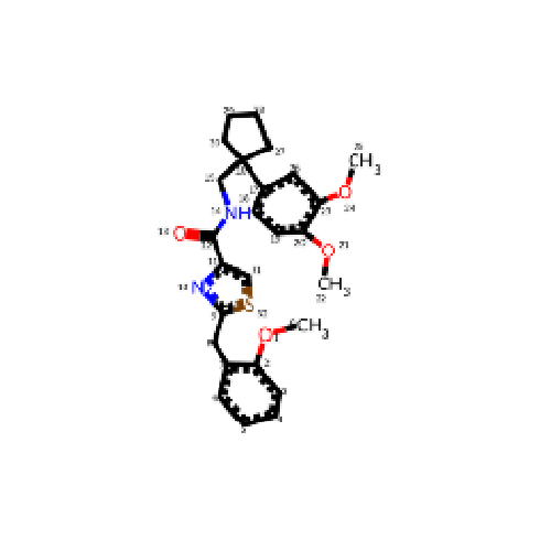 COc1ccccc1Cc1nc(C(=O)NCC2(c3ccc(OC)c(OC)c3)CCCC2)cs1